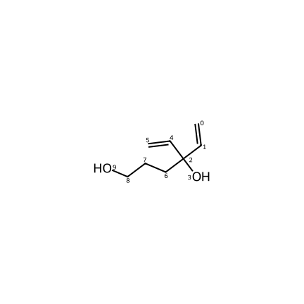 C=CC(O)(C=C)CCCO